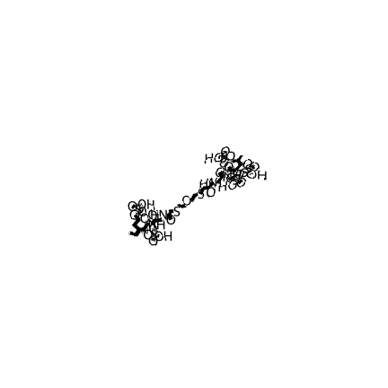 CCC1CC(OS(=O)(=O)O)O[C@H](NC(=O)CNC(=O)CSCCOCCSCC(=O)NCC(=O)N[C@@H]2OC(OS(=O)(=O)O)C(C)[C@@H](OS(=O)(=O)O)C2OS(=O)(=O)O)[C@@H]1OS(=O)(=O)O